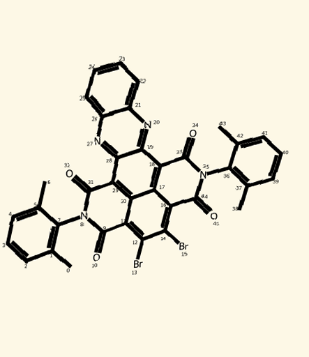 Cc1cccc(C)c1N1C(=O)c2c(Br)c(Br)c3c4c(c5nc6ccccc6nc5c(c24)C1=O)C(=O)N(c1c(C)cccc1C)C3=O